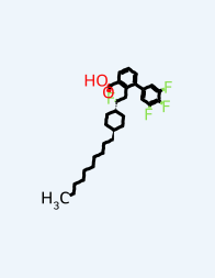 CCCCCCCCCC[C@H]1CC[C@H](C(F)Cc2c(C(=O)O)cccc2-c2cc(F)c(F)c(F)c2)CC1